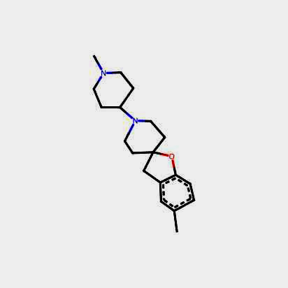 Cc1ccc2c(c1)CC1(CCN(C3CCN(C)CC3)CC1)O2